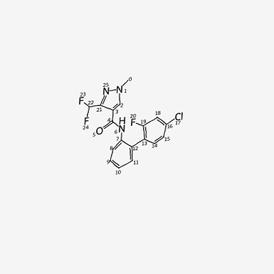 Cn1cc(C(=O)Nc2ccccc2-c2ccc(Cl)cc2F)c(C(F)F)n1